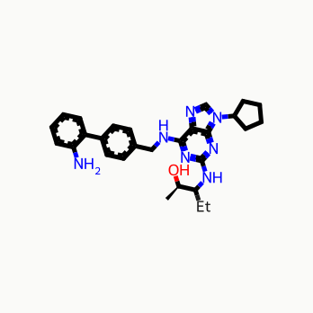 CCC(Nc1nc(NCc2ccc(-c3ccccc3N)cc2)c2ncn(C3CCCC3)c2n1)[C@@H](C)O